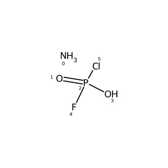 N.O=P(O)(F)Cl